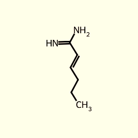 CCC/C=C/C(=N)N